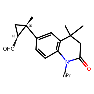 CCCN1C(=O)CC(C)(C)c2cc([C@@]3(C)C[C@@H]3C=O)ccc21